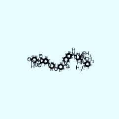 Cc1cccc(C)c1Nc1nn(C)c2nc(Nc3ccc4c(c3)CN(C(=O)[C@H]3CC[C@H](OC5CCN(c6ccc7c(c6)C(=O)N(C6CCC(=O)NC6=O)C7=O)CC5)CC3)CC4)ncc12